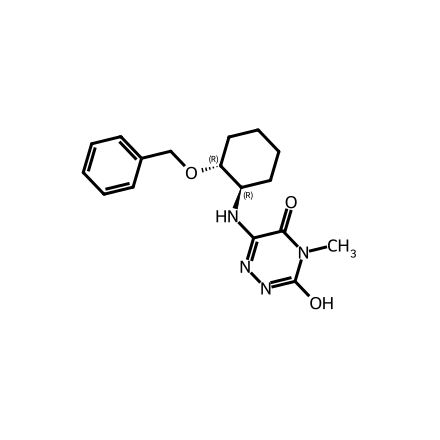 Cn1c(O)nnc(N[C@@H]2CCCC[C@H]2OCc2ccccc2)c1=O